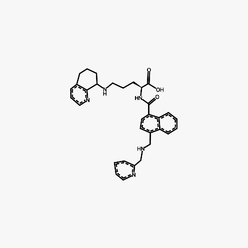 O=C(N[C@@H](CCCNC1CCCc2cccnc21)C(=O)O)c1ccc(CNCc2ccccn2)c2ccccc12